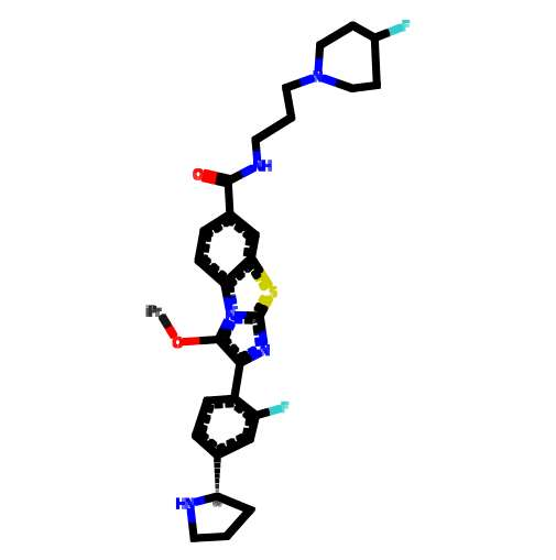 CC(C)Oc1c(-c2ccc([C@@H]3CCCN3)cc2F)nc2sc3cc(C(=O)NCCCN4CCC(F)CC4)ccc3n12